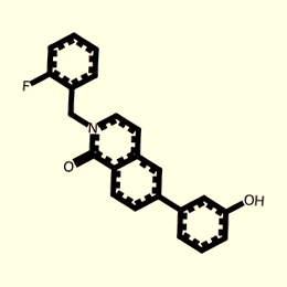 O=c1c2ccc(-c3cccc(O)c3)cc2ccn1Cc1ccccc1F